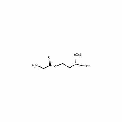 CCCCCCCCN(CCCCCCCC)CCOC(=O)CN